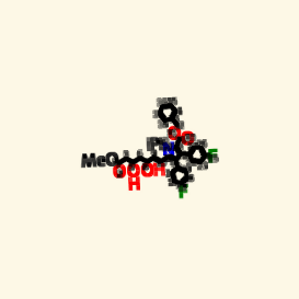 COC(=O)CC(O)CC(O)/C=C/c1c(-c2ccc(F)cc2)c(-c2ccc(F)cc2)c(C(=O)OCc2ccccc2)n1C(C)C